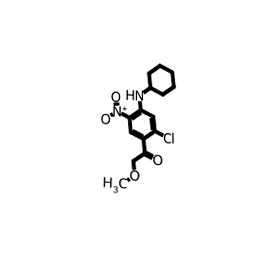 COCC(=O)c1cc([N+](=O)[O-])c(NC2CCCCC2)cc1Cl